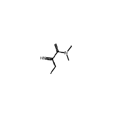 C=C(C(=N)CC)N(C)C